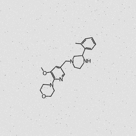 COc1cc(CN2CCNC(c3ccccc3C)C2)cnc1N1CCOCC1